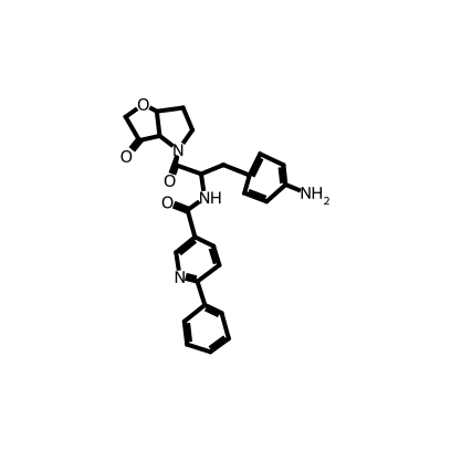 Nc1ccc(CC(NC(=O)c2ccc(-c3ccccc3)nc2)C(=O)N2CCC3OCC(=O)C32)cc1